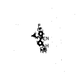 CCCOC(=O)Nc1cccc(-c2c(C#N)c3ccc(OCF)cc3n2CC2CC2)c1